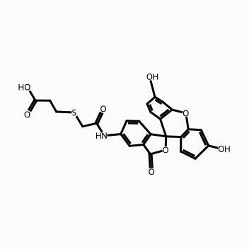 O=C(O)CCSCC(=O)Nc1ccc2c(c1)C(=O)OC21c2ccc(O)cc2Oc2cc(O)ccc21